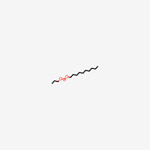 CCCCCCCCCCOOOCCC